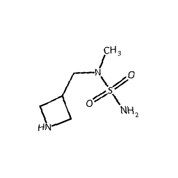 CN(CC1CNC1)S(N)(=O)=O